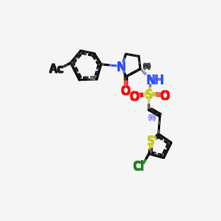 CC(=O)c1ccc(N2CC[C@H](NS(=O)(=O)/C=C/c3ccc(Cl)s3)C2=O)cc1